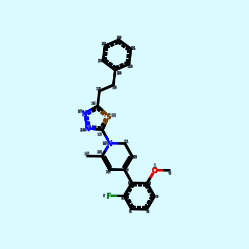 COc1cccc(F)c1C1=CCN(c2nnc(CCc3ccccc3)s2)C(C)=C1